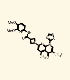 COc1ccc(NC(=O)C2CN(c3cc(C)c4c(=O)c(C(=O)O)cn(-c5ncns5)c4n3)C2)nc1OC